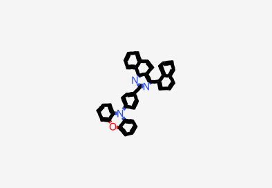 c1ccc2c(c1)Oc1ccccc1N2c1ccc(-c2nc(-c3cccc4ccccc34)c3ccc4ccccc4c3n2)cc1